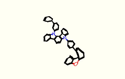 c1ccc(-c2cccc(-n3c4ccccc4c4ccc5c(c6ccccc6n5-c5ccc(-c6cccc7oc8ccccc8c67)cc5)c43)c2)cc1